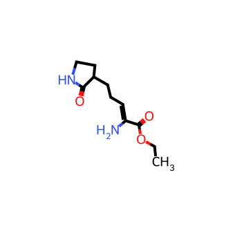 CCOC(=O)/C(N)=C/CCC1CCNC1=O